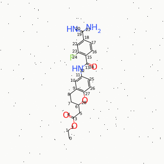 CCOC(=O)CC1CCc2cc(NC(=O)c3ccc(C(=N)N)cc3F)ccc2O1